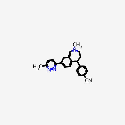 Cc1ccc(C2=CC=C3C(=CN(C)CCC3c3ccc(C#N)cc3)C2)nn1